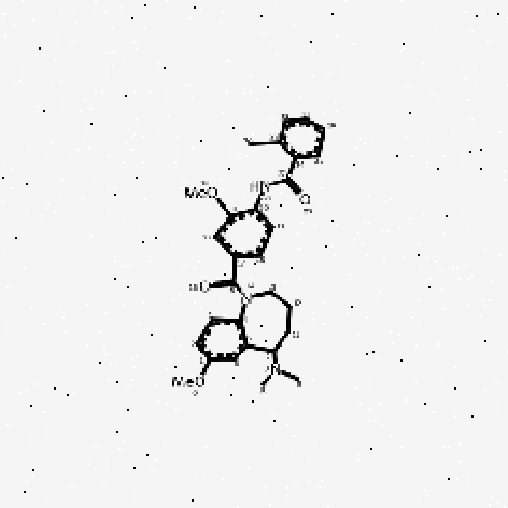 COc1ccc2c(c1)C(N(C)C)CCCN2C(=O)c1ccc(NC(=O)c2ccccc2C)c(OC)c1